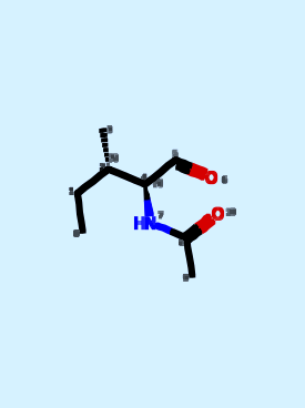 CC[C@H](C)[C@@H](C=O)NC(C)=O